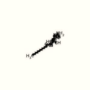 C#C[C@]1(COC(=O)CNC(=O)CCCCCCCCCCCCC)O[C@@H](n2cnc3c(N)nc(F)nc32)C[C@@H]1O